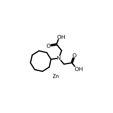 O=C(O)CN(CC(=O)O)C1CCCCCCC1.[Zn]